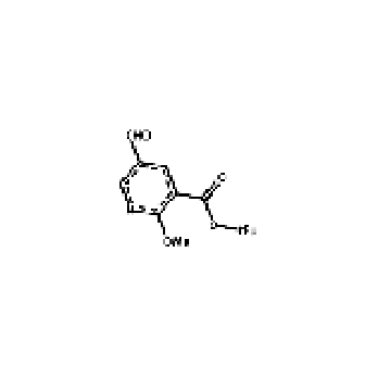 COc1ncc(C=O)cc1C(=O)OC(C)(C)C